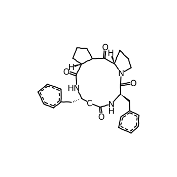 O=C1C[C@H](Cc2ccccc2)NC(=O)[C@@H]2CCCC2C(=O)[C@@H]2CCCN2C(=O)[C@@H](Cc2ccccc2)N1